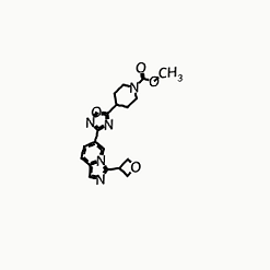 COC(=O)N1CCC(c2nc(-c3ccc4cnc(C5COC5)n4c3)no2)CC1